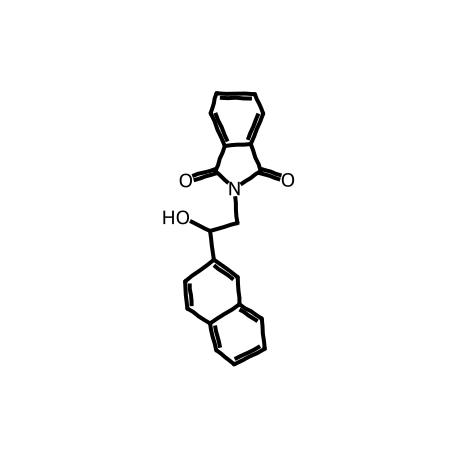 O=C1c2ccccc2C(=O)N1CC(O)c1ccc2ccccc2c1